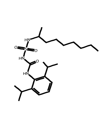 CCCCCCCC(C)NS(=O)(=O)NC(=O)Nc1c(C(C)C)cccc1C(C)C